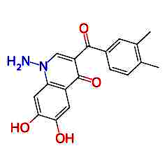 Cc1ccc(C(=O)c2cn(N)c3cc(O)c(O)cc3c2=O)cc1C